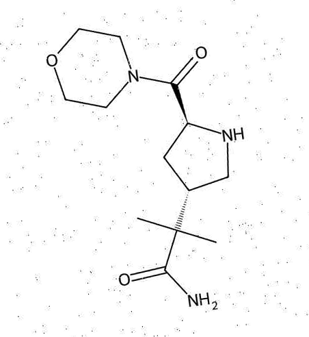 CC(C)(C(N)=O)[C@H]1CN[C@H](C(=O)N2CCOCC2)C1